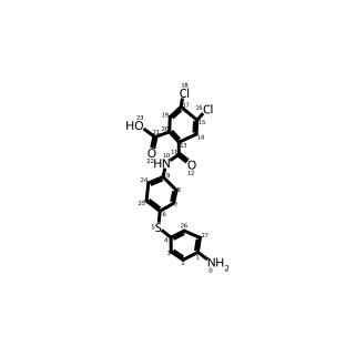 Nc1ccc(Sc2ccc(NC(=O)c3cc(Cl)c(Cl)cc3C(=O)O)cc2)cc1